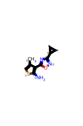 Cc1csc(N)c1-c1nc(C2CC2)no1